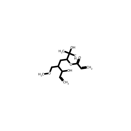 C=CC(=O)OC(CC(COC)C(O)C=C)C(C)(C)O